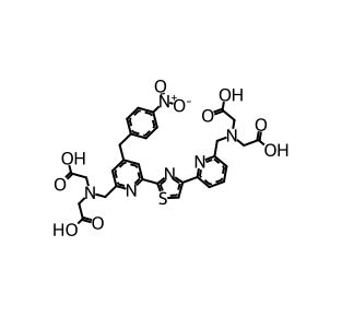 O=C(O)CN(CC(=O)O)Cc1cccc(-c2csc(-c3cc(Cc4ccc([N+](=O)[O-])cc4)cc(CN(CC(=O)O)CC(=O)O)n3)n2)n1